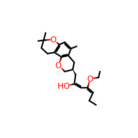 CC/C=C(\C=C(\O)C[C@H]1COc2c(c(C)cc3c2CCC(C)(C)O3)C1)OCC